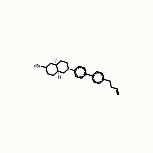 C=CCCc1ccc(-c2ccc([C@@H]3CC[C@@H]4CC(CCCC)CC[C@@H]4C3)cc2)cc1